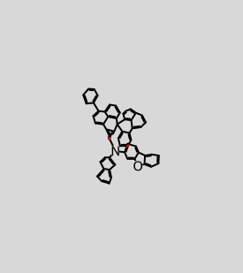 c1ccc(-c2ccc3c4c(cccc24)C2(c4ccccc4-c4cccc5cccc2c45)c2cc(N(c4ccc5ccccc5c4)c4ccc5c(c4)oc4ccccc45)ccc2-3)cc1